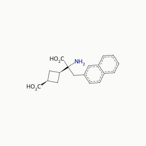 NC(Cc1ccc2ccccc2c1)(C(=O)O)[C@H]1C[C@@H](C(=O)O)C1